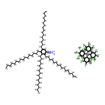 CCCCCCCCCCCCCCCCc1cc([NH3+])c(CCCCCCCCCCCCCCCC)c(CCCCCCCCCCCCCCCC)c1CCCCCCCCCCCCCCCC.Fc1c(F)c(F)c([B-](c2c(F)c(F)c(F)c(F)c2F)(c2c(F)c(F)c(F)c(F)c2F)c2c(F)c(F)c(F)c(F)c2F)c(F)c1F